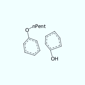 CCCCCOc1ccccc1.Oc1ccccc1